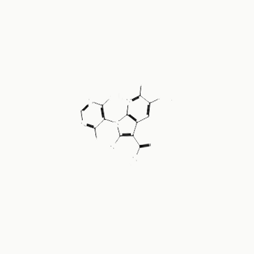 Cc1cc2c(C(N)=O)c(N)n(-c3c(C)ncnc3C)c2nc1C